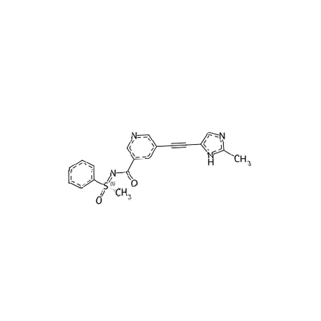 Cc1ncc(C#Cc2cncc(C(=O)N=[S@@](C)(=O)c3ccccc3)c2)[nH]1